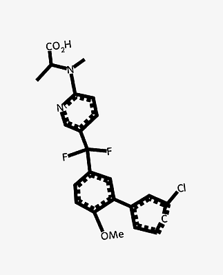 COc1ccc(C(F)(F)c2ccc(N(C)C(C)C(=O)O)nc2)cc1-c1cccc(Cl)c1